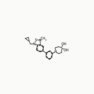 CN1SN(CC2CC2)c2ccc(-c3cccc(N4CCS(O)(O)CC4)c3)cc21